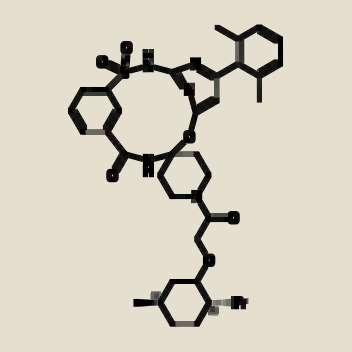 Cc1cccc(C)c1-c1cc2nc(n1)NS(=O)(=O)c1cccc(c1)C(=O)NC1(CCN(C(=O)COC3C[C@H](C)CC[C@H]3C(C)C)CC1)O2